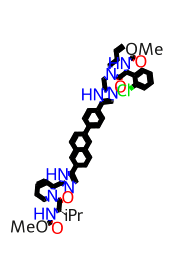 C=CCCN(Cc1ncc(-c2ccc(-c3ccc4c(c3)=CCC(c3cnc(C5C#CCCN5C(=O)[C@@H](NC(=O)OC)C(C)C)[nH]3)C=4)cc2)[nH]1)C(=O)C(NC(=O)OC)c1ccccc1Cl